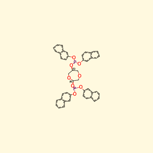 c1ccc2cc(OP(Oc3ccc4ccccc4c3)O[C@H]3COC[C@@H](OP(Oc4ccc5ccccc5c4)Oc4ccc5ccccc5c4)OC3)ccc2c1